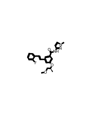 COC[C@H](C)Oc1cc(C=Cc2ccccc2F)cc(C(=O)Nc2ccn(C)n2)c1